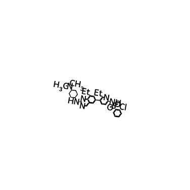 CCc1nc(NS(=O)(=O)c2ccccc2Cl)ccc1-c1cc(CC)c2nc(NC3CCC(N(C)C)CC3)ncc2c1